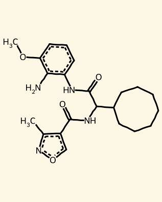 COc1cccc(NC(=O)C(NC(=O)c2conc2C)C2CCCCCCC2)c1N